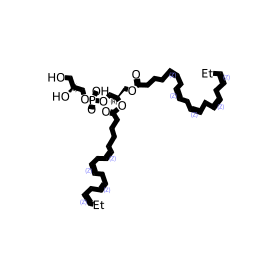 CC/C=C\C/C=C\C/C=C\C/C=C\C/C=C\CCCC(=O)OC[C@H](COP(=O)(O)OC[C@@H](O)CO)OC(=O)CCCC/C=C\C/C=C\C/C=C\C/C=C\CC